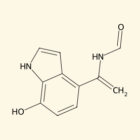 C=C(NC=O)c1ccc(O)c2[nH]ccc12